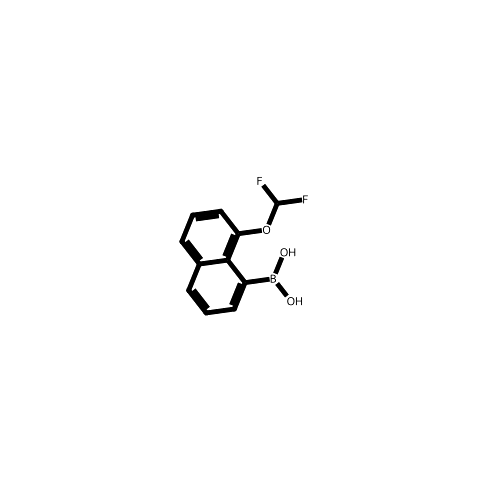 OB(O)c1cccc2cccc(OC(F)F)c12